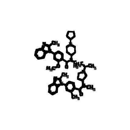 COc1cc(-n2c(C)nc3ccccc32)ccc1C(=O)N(C)C1CCN(C2CCCC2)CC1.Cc1cc(-n2c(C)nc3ccccc32)ccc1C(=O)N(C)C1CCN(C(C)C)C1